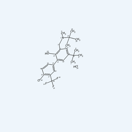 CN(Cc1cc(C(C)(C)C)cc(-c2ccc(Cl)c(C(F)(F)F)c2)c1O)C(C)(C)C.Cl